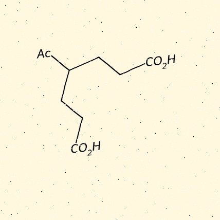 CC(=O)C(CCC(=O)O)CCC(=O)O